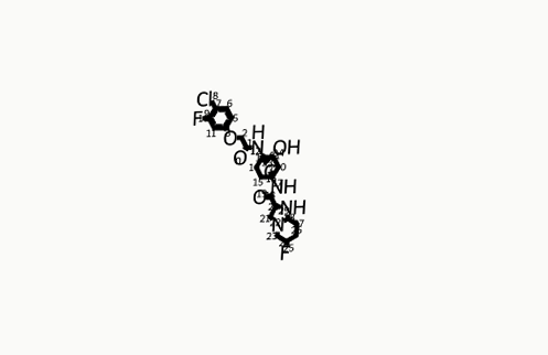 O=C(COc1ccc(Cl)c(F)c1)NC12CCC(NC(=O)C3CN4CC(F)CCC4N3)(CC1)CC2O